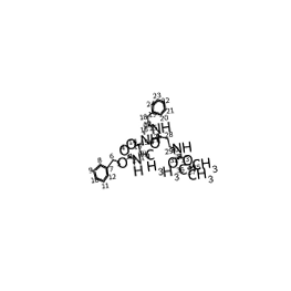 C[C@@H](NC(=O)OCc1ccccc1)C(=O)NC[C@H](Cc1ccccc1)NC(=O)CCNC(=O)OC(C)(C)C